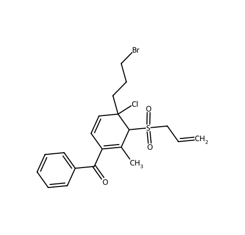 C=CCS(=O)(=O)C1C(C)=C(C(=O)c2ccccc2)C=CC1(Cl)CCCBr